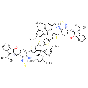 CCCCCCc1cc(C)cc(C2(c3cc(CCCCCC)cc(CCCCCC)c3)c3cc(C4=CC=C(/C=C5\C(=O)c6ccccc6C5=C(C#N)C#N)/C(=N/S)C4=N)sc3-c3sc4c5c(sc4c32)-c2sc(C3=CC=C(/C=C4\C(=O)c6ccccc6C4=C(C#N)C#N)/C(=N/S)C3=N)cc2C5(c2cc(C)cc(CCCCCC)c2)c2cc(CCCCCC)cc(CCCCCC)c2)c1